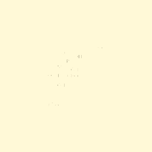 CCCCCCCCCCCCCOCCCCCCCCCCCCC.O=P(O)(O)OP(=O)(O)O